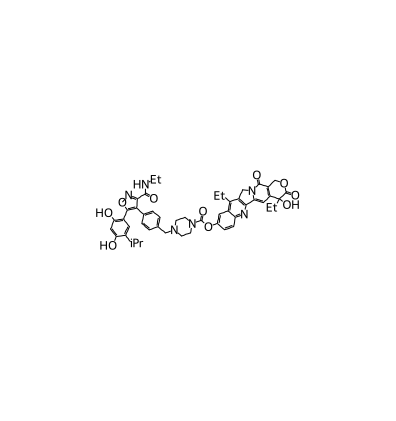 CCNC(=O)c1noc(-c2cc(C(C)C)c(O)cc2O)c1-c1ccc(CN2CCN(C(=O)Oc3ccc4nc5c(c(CC)c4c3)Cn3c-5cc4c(c3=O)COC(=O)C4(O)CC)CC2)cc1